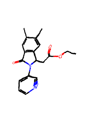 CCOC(=O)CC1c2cc(C)c(C)cc2C(=O)N1c1cccnc1